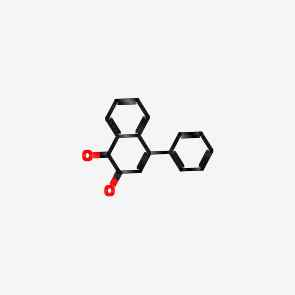 O=C1C=C(c2ccccc2)c2ccccc2C1=O